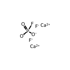 O=P([O-])([O-])F.[Ca+2].[Ca+2].[F-].[F-]